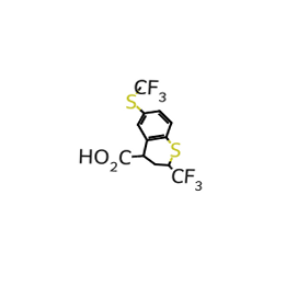 O=C(O)C1CC(C(F)(F)F)Sc2ccc(SC(F)(F)F)cc21